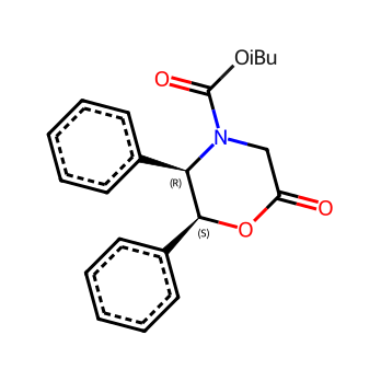 CC(C)COC(=O)N1CC(=O)O[C@@H](c2ccccc2)[C@H]1c1ccccc1